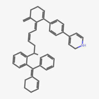 C=C1CCC=C(c2ccc(C3=CCNC=C3)cc2)/C1=C/C=C\CC(C)c1ccccc1/C(=C1/C=CCCC1)c1ccccc1